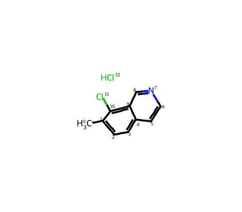 Cc1ccc2ccncc2c1Cl.Cl